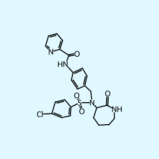 O=C(Nc1ccc(CN([C@@H]2CCCCNC2=O)S(=O)(=O)c2ccc(Cl)cc2)cc1)c1ccccn1